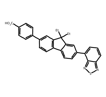 CCC1(CC)c2cc(-c3ccc(C(=O)O)cc3)ccc2-c2ccc(-c3cccc4nsnc34)cc21